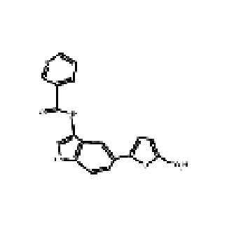 O=C(Nc1n[nH]c2ccc(-c3ccc(C(=O)O)o3)cc12)c1cccnc1